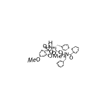 COc1ccc(S(=O)(=O)N[C@H](Cc2ccccc2)C(=O)OC[C@@H](Cc2ccccc2)NC(=O)c2ccccc2)c(OC)c1